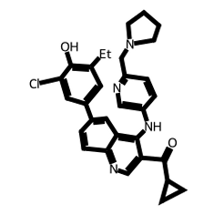 CCc1cc(-c2ccc3ncc(C(=O)C4CC4)c(Nc4ccc(CN5CCCC5)nc4)c3c2)cc(Cl)c1O